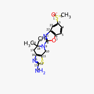 C[S+]([O-])c1ccc2oc(N3Cc4sc(N)nc4CC3(C)C)nc2c1